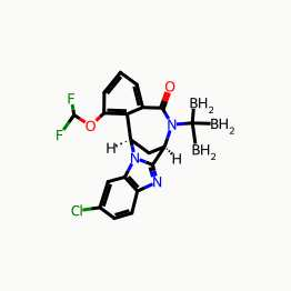 BC(B)(B)N1C(=O)c2cccc(OC(F)F)c2[C@H]2C[C@@H]1c1nc3ccc(Cl)cc3n12